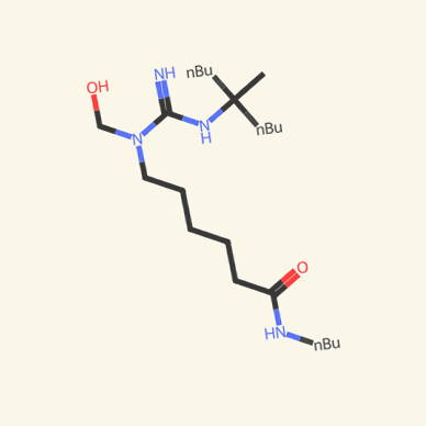 CCCCNC(=O)CCCCCN(CO)C(=N)NC(C)(CCCC)CCCC